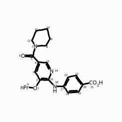 CCCOc1cc(C(=O)N2CCCCC2)cnc1Nc1ccc(C(=O)O)cc1